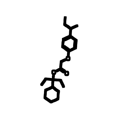 CCC(C)c1ccc(OCC(=O)OC(CC)(CC)C2CCCCC2)cc1